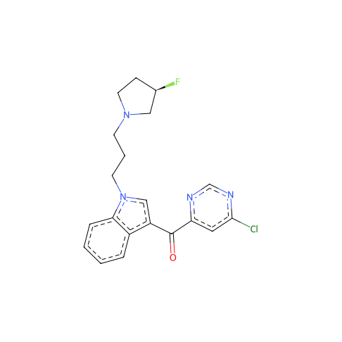 O=C(c1cc(Cl)ncn1)c1cn(CCCN2CC[C@@H](F)C2)c2ccccc12